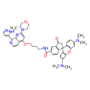 C[C@@H]1COCCN1c1cc(OCCCCNC(=O)c2ccc3c(c2)C(=O)CC32c3ccc(N(C)C)cc3Oc3cc(N(C)C)ccc32)c2ccnc(-c3ccn[nH]3)c2n1